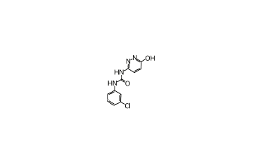 O=C(Nc1cccc(Cl)c1)Nc1ccc(O)nn1